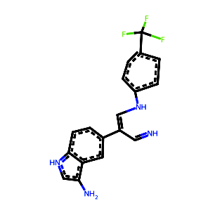 N=C/C(=C\Nc1ccc(C(F)(F)F)cc1)c1ccc2[nH]cc(N)c2c1